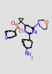 Nc1ccc(-c2nc(N3CCOCC3)cc(C3(S(=O)(=O)c4ccncc4)CC3)n2)cc1